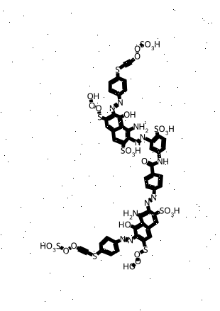 Nc1c(N=Nc2ccc(C(=O)Nc3ccc(S(=O)(=O)O)c(N=Nc4c(S(=O)(=O)O)cc5cc(SOOO)c(N=Nc6ccc(SC#COOS(=O)(=O)O)cc6)c(O)c5c4N)c3)cc2)c(S(=O)(=O)O)cc2cc(SOOO)c(N=Nc3ccc(SC#COOS(=O)(=O)O)cc3)c(O)c12